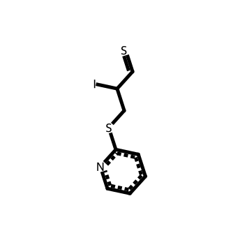 S=CC(I)CSc1ccccn1